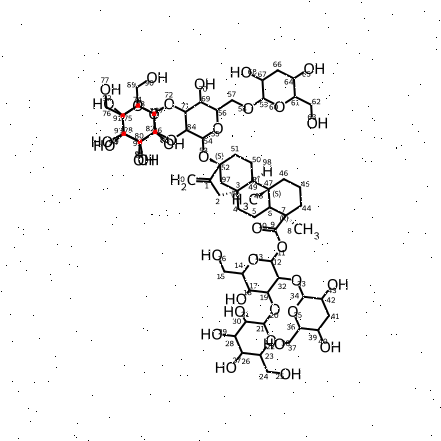 C=C1C[C@@]23CCC4[C@](C)(C(=O)OC5OC(CO)C(O)C(OC6OC(CO)C(O)C(O)C6O)C5OC5OC(CO)C(O)CC5O)CCC[C@@]4(C)[C@@H]2CC[C@]1(OC1OC(COC2OC(CO)C(O)CC2O)C(O)C(OC2OC(CO)C(O)C(O)C2O)C1OC1OC(CO)C(O)C(O)C1O)C3